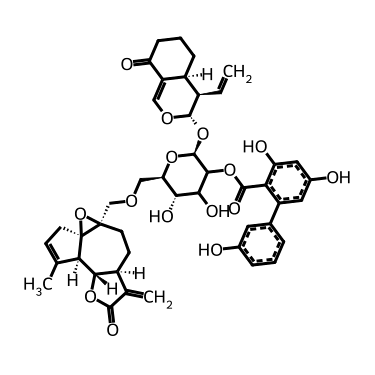 C=C[C@H]1[C@H](O[C@@H]2O[C@H](COC[C@]34CC[C@H]5C(=C)C(=O)O[C@@H]5[C@H]5C(C)=CC[C@@]53O4)[C@@H](O)C(O)C2OC(=O)c2c(O)cc(O)cc2-c2cccc(O)c2)OC=C2C(=O)CCC[C@H]21